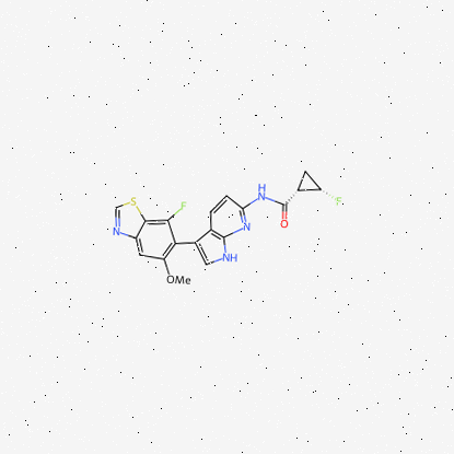 COc1cc2ncsc2c(F)c1-c1c[nH]c2nc(NC(=O)[C@@H]3C[C@@H]3F)ccc12